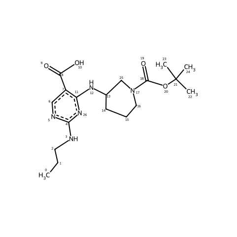 CCCNc1ncc(C(=O)O)c(NC2CCCN(C(=O)OC(C)(C)C)C2)n1